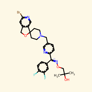 CC(C)(O)CO/N=C(\c1ccc(F)c(F)c1)c1ccc(CN2CCC3(CC2)OCc2cc(Br)ncc23)cn1